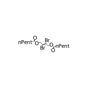 CCCCCC(=O)OC/C(Br)=C(\Br)COC(=O)CCCCC